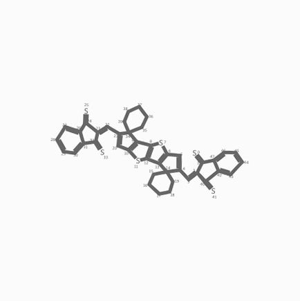 S=C1C(=CC2=Cc3sc4c5c(sc4c3C23CCCCC3)C=C(C=C2C(=S)c3ccccc3C2=S)C52CCCCC2)C(=S)c2ccccc21